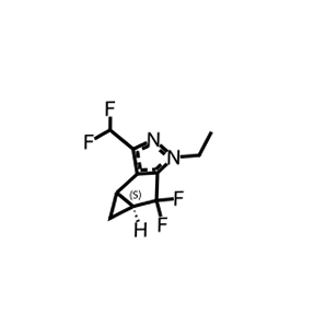 CCn1nc(C(F)F)c2c1C(F)(F)[C@H]1CC21